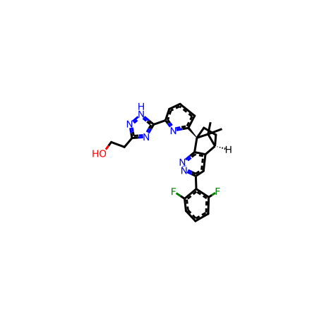 CC1(C)[C@H]2CC[C@@]1(c1cccc(-c3nc(CCO)n[nH]3)n1)c1nnc(-c3c(F)cccc3F)cc12